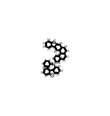 c1ccc(N(c2ccc3c(ccc4ccc5cc6sc7ccccc7c6cc5c43)c2)c2cccc3oc4ccccc4c23)cc1